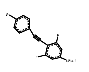 CCCCCc1cc(F)c(C#Cc2ccc(Br)cc2)c(F)c1